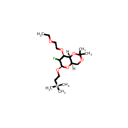 CCOCCO[C@@H]1C(F)[C@H](OCC[Si](C)(C)C)O[C@@H]2COC(C)(C)O[C@@H]12